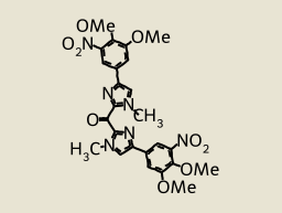 COc1cc(-c2cn(C)c(C(=O)c3nc(-c4cc(OC)c(OC)c([N+](=O)[O-])c4)cn3C)n2)cc([N+](=O)[O-])c1OC